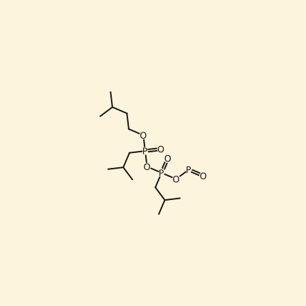 CC(C)CCOP(=O)(CC(C)C)OP(=O)(CC(C)C)OP=O